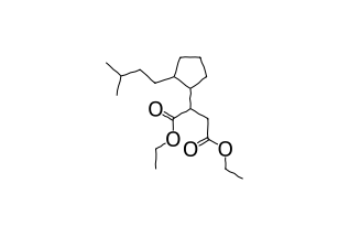 CCOC(=O)CC(C(=O)OCC)C1CCCC1CCC(C)C